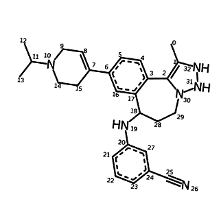 CC1=C2c3ccc(C4=CCN(C(C)C)CC4)cc3C(Nc3cccc(C#N)c3)CCN2NN1